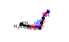 CC1=C(/C=C/C(C)=C/C=C/C(C)=C/C(=O)OCOC(=O)NC(=O)Nc2ccccc2NC(=O)c2ccc(NC(=O)c3ccc(CNC(=O)OCc4cccnc4)cc3)cc2)C(C)(C)CCC1